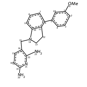 COc1cccc(-c2cccc3c2CCN3Cc2cnc(N)nc2N)c1